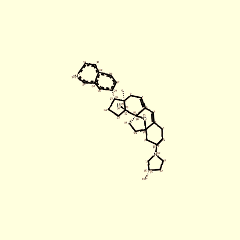 C[C@]12CC=C3C=C4CC[C@@H](N5CC[C@H](F)C5)CC45CC[C@]3(O5)[C@@H]1CC[C@@H]2c1ccc2ccncc2c1